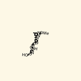 COc1cnc2c(-c3nc4cc(F)c(OC[C@@H](C)OC(=O)Nc5ccc(OCCO)nc5)cc4s3)cc(C)cc2n1